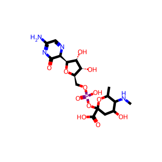 CNC1C(O)CC(OP(=O)(O)OC[C@H]2O[C@@H](C3N=CC(N)=NC3=O)[C@H](O)[C@@H]2O)(C(=O)O)OC1C